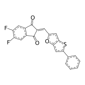 O=C1C(=Cc2cc3sc(-c4ccccc4)cc3o2)C(=O)c2cc(F)c(F)cc21